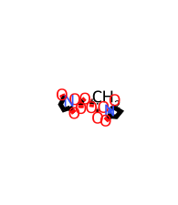 [CH2]C(OC(=O)ON1C(=O)CCC1=O)OC(=O)ON1C(=O)CCC1=O